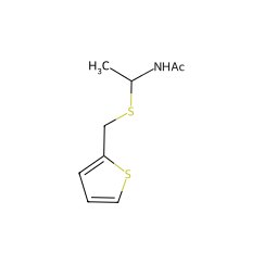 CC(=O)NC(C)SCc1cccs1